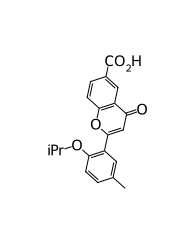 Cc1ccc(OC(C)C)c(-c2cc(=O)c3cc(C(=O)O)ccc3o2)c1